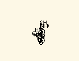 [CH2]CC1C[C@@H](NC(=O)c2c[nH]c3c(-c4c(OCCCC)ccc5c4OCO5)ncnc23)CN1